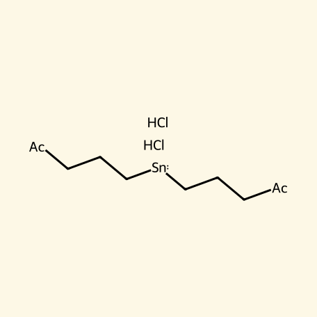 CC(=O)CC[CH2][Sn][CH2]CCC(C)=O.Cl.Cl